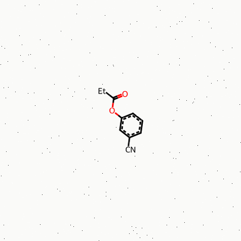 CCC(=O)Oc1cccc(C#N)c1